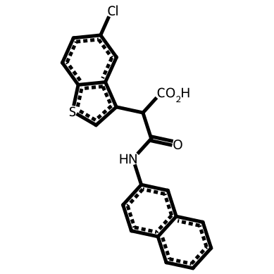 O=C(O)C(C(=O)Nc1ccc2ccccc2c1)c1csc2ccc(Cl)cc12